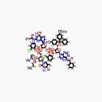 COc1ccc(C(OC[C@H]2O[C@@H](n3cnc4c(NC(=O)c5ccccc5)ncnc43)C[C@@H]2OP(=O)(OC[C@H]2O[C@@H](n3cnc4c(=O)[nH]c(NC(=O)C(C)C)nc43)C[C@@H]2OP(=O)(OC[C@H]2O[C@@H](n3cc(C)c(=O)[nH]c3=O)C[C@@H]2OP(OCCC#N)N(C(C)C)C(C)C)Oc2ccccc2Cl)Oc2ccccc2Cl)(c2ccccc2)c2ccc(OC)cc2)cc1